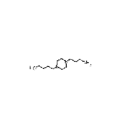 NCCCN1CCN(CCCCO)CC1